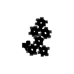 [I].[O]=[Re]=[O].c1ccc(P(c2ccccc2)c2ccccc2)cc1.c1ccc(P(c2ccccc2)c2ccccc2)cc1